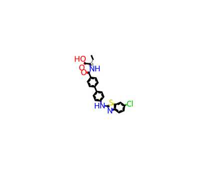 CC[C@H](NC(=O)c1ccc(-c2ccc(Nc3nc4ccc(Cl)cc4s3)cc2)cc1)C(=O)O